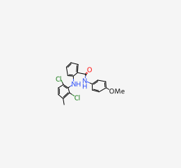 COc1ccc(NC(=O)c2ccccc2Nc2c(Cl)ccc(C)c2Cl)cc1